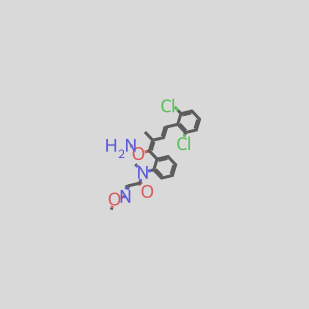 CON=CC(=O)N(C)c1ccccc1C(ON)=C(C)C=Cc1c(Cl)cccc1Cl